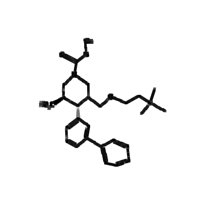 CC(C)(C)OC(=O)N1CC(COCC[Si](C)(C)C)[C@H](c2cccc(-c3ccccc3)c2)[C@@H](C(=O)O)C1